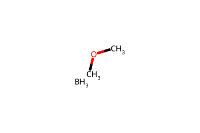 B.COC